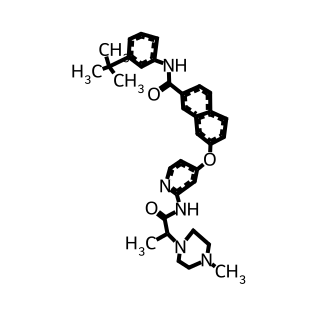 CC(C(=O)Nc1cc(Oc2ccc3ccc(C(=O)Nc4cccc(C(C)(C)C)c4)cc3c2)ccn1)N1CCN(C)CC1